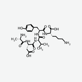 CC(C)[C@H](NC(=O)[C@H](CC(=O)O)NC(=O)[C@H](C)N)C(=O)N[C@@H](Cc1ccc(O)cc1)C(=O)N[C@@H](CCCCN)C(=O)O